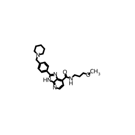 COCCCNC(=O)c1ccnc2[nH]c(-c3ccc(CN4CCCCC4)cc3)nc12